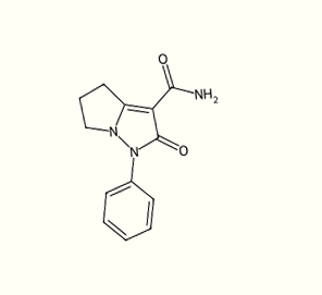 NC(=O)c1c2n(n(-c3ccccc3)c1=O)CCC2